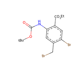 CCOC(=O)c1cc(Br)c(CBr)cc1NC(=O)OC(C)(C)C